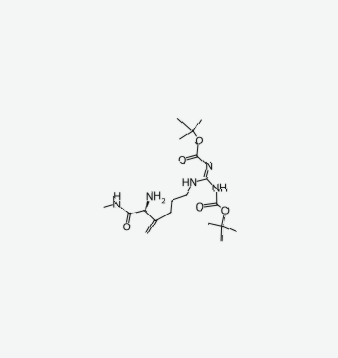 C=C(CCCN/C(=N\C(=O)OC(C)(C)C)NC(=O)OC(C)(C)C)[C@H](N)C(=O)NC